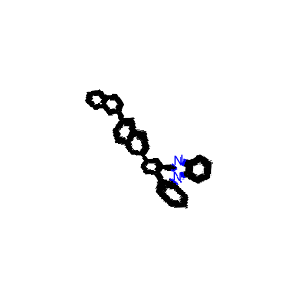 c1ccc2cc(-c3ccc4cc(-c5ccc6c7ccccc7n7c8ccccc8nc7c6c5)ccc4c3)ccc2c1